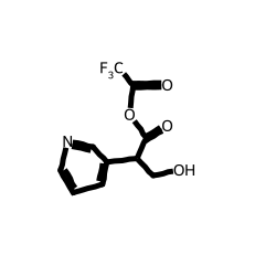 O=C(OC(=O)C(F)(F)F)C(CO)c1cccnc1